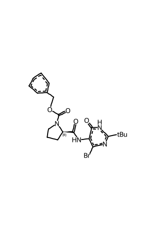 CC(C)(C)c1nc(Br)c(NC(=O)[C@H]2CCCN2C(=O)OCc2ccccc2)c(=O)[nH]1